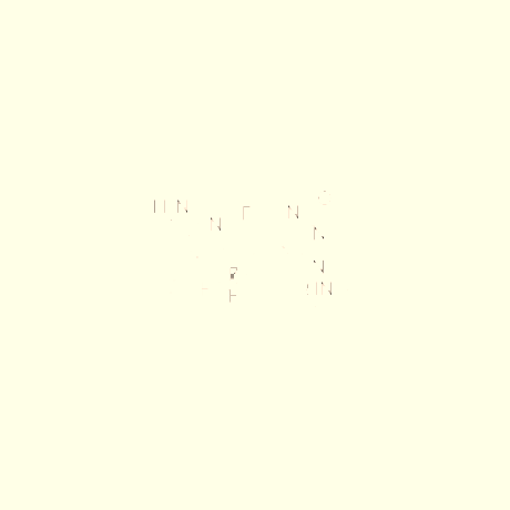 C#Cc1cc(N)nc(-c2c(Cl)cc3c(N4CC5CCC(C4)N5)nc(OC)nc3c2F)c1C(F)(F)F